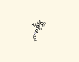 COc1cc2ncnc(-n3nc(Nc4ccc(/C=C/CN5CCC(N(C)C)CC5)nc4)nc3N)c2cc1OC